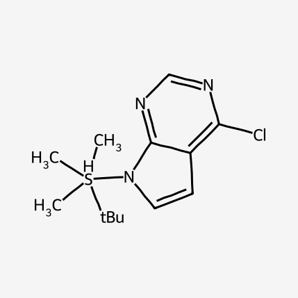 CC(C)(C)[SH](C)(C)(C)n1ccc2c(Cl)ncnc21